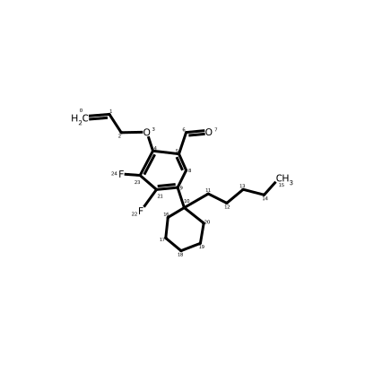 C=CCOc1c(C=O)cc(C2(CCCCC)CCCCC2)c(F)c1F